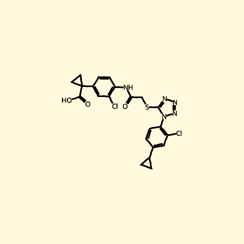 O=C(CSc1nnnn1-c1ccc(C2CC2)cc1Cl)Nc1ccc(C2(C(=O)O)CC2)cc1Cl